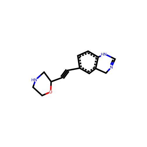 C(#CC1CNCCO1)c1ccc2c(c1)[CH]N=CN2